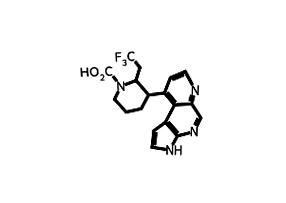 O=C(O)N1CCCC(c2ccnc3cnc4[nH]ccc4c23)C1CC(F)(F)F